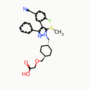 CSc1c(-c2cc(C#N)ccc2F)c(-c2ccccc2)nn1C[C@H]1CC[C@H](COCC(=O)O)CC1